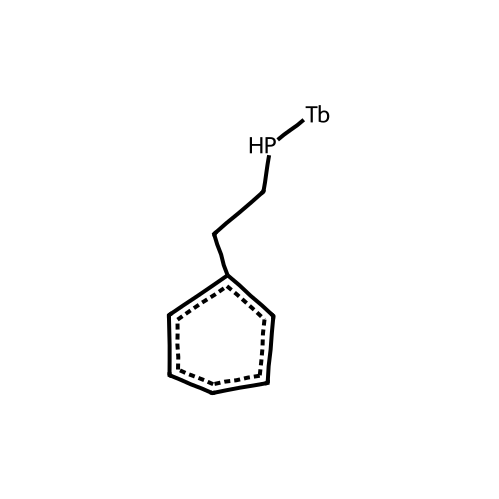 [Tb][PH]CCc1ccccc1